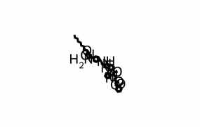 CCCCCCCCOC(=O)/N=C(\N)c1ccc(NCc2nc3cc(C(=O)N(CCC(=O)Oc4ccccc4OC)c4ccccn4)ccc3n2C)cc1